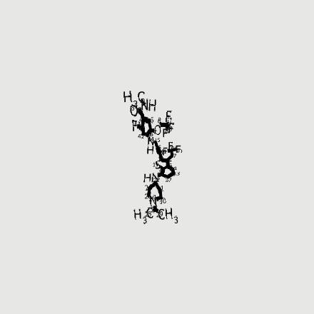 CNC(=O)c1cc(OCC(F)(F)F)c(NCC#Cc2sc3c(NC4CCN(C(C)C)CC4)cccc3c2CC(F)(F)F)cc1F